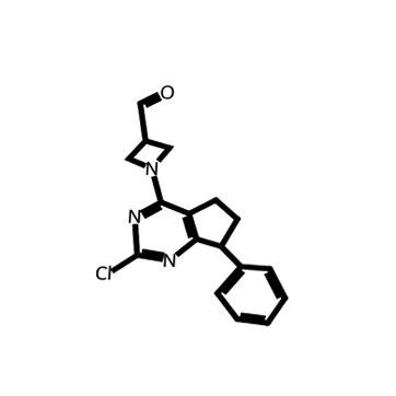 O=CC1CN(c2nc(Cl)nc3c2CCC3c2ccccc2)C1